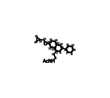 CC(=O)NCCc1cc(-c2ccccc2)cc2ccc(OCC3CC3)cc12